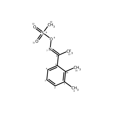 Cc1cccc(C(=NOS(C)(=O)=O)C(F)(F)F)c1C